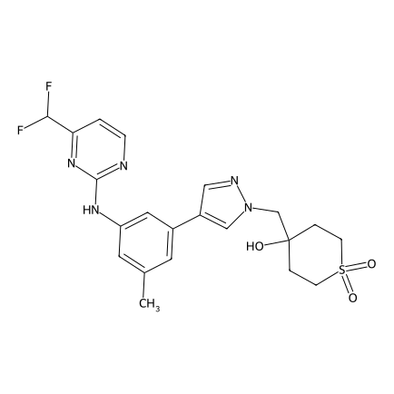 Cc1cc(Nc2nccc(C(F)F)n2)cc(-c2cnn(CC3(O)CCS(=O)(=O)CC3)c2)c1